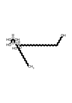 CCCCCCCCCCCCCC=CC(O)C(COC1O[C@H](CO)[C@@H](O)[C@H](O)[C@H]1O)NC(=O)CCCCCCCCCCCCCCCCCCCCCCC/C=C\CCCCCCO